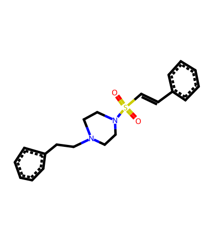 O=S(=O)(C=Cc1ccccc1)N1CCN(CCc2ccccc2)CC1